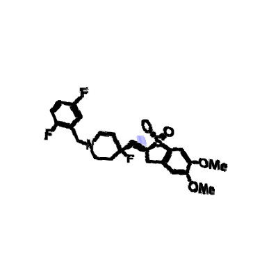 COc1cc2c(cc1OC)S(=O)(=O)/C(=C/C1(F)CCN(Cc3cc(F)ccc3F)CC1)C2